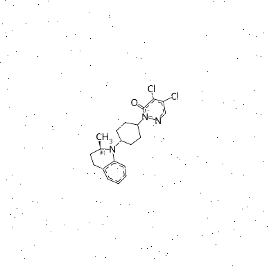 C[C@@H]1CCc2ccccc2N1C1CCC(n2ncc(Cl)c(Cl)c2=O)CC1